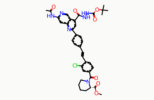 COC(=O)[C@@H]1CCCCN1C(=O)c1ccc(C#Cc2ccc(-c3cc(C(=O)NNC(=O)OC(C)(C)C)c4cnc(NC(C)=O)cc4n3)cc2)c(Cl)c1